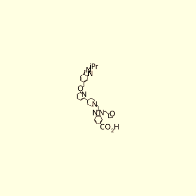 CC(C)n1cc2ccc(COc3cccc(C4CCN(Cc5nc6ccc(C(=O)O)cc6n5CC5CCO5)CC4)n3)cc2n1